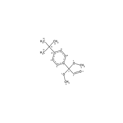 COC(C=O)(OC)c1ccc(C(C)(C)C)cc1